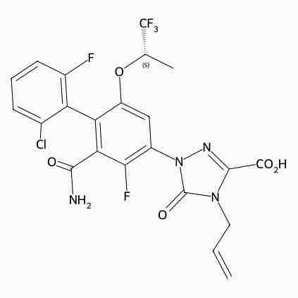 C=CCn1c(C(=O)O)nn(-c2cc(O[C@@H](C)C(F)(F)F)c(-c3c(F)cccc3Cl)c(C(N)=O)c2F)c1=O